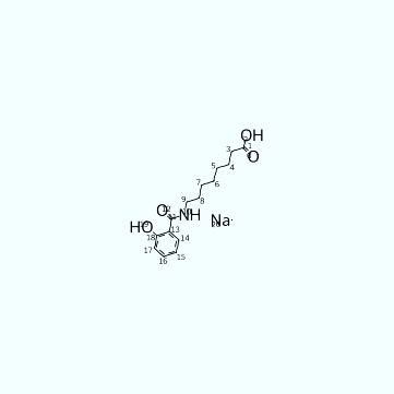 O=C(O)CCCCCCCNC(=O)c1ccccc1O.[Na]